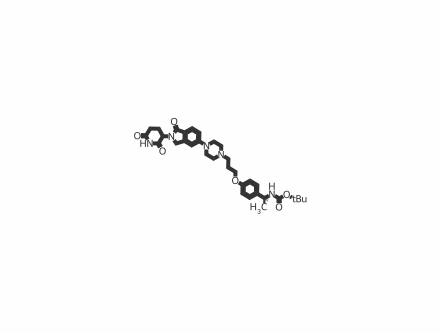 C[C@H](NC(=O)OC(C)(C)C)c1ccc(OCCCN2CCN(c3ccc4c(c3)CN(C3CCC(=O)NC3=O)C4=O)CC2)cc1